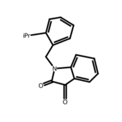 CC(C)c1ccccc1CN1C(=O)C(=O)c2ccccc21